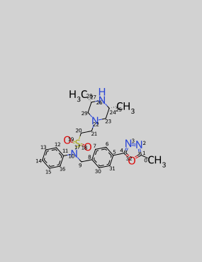 Cc1nnc(-c2ccc(CN(c3ccccc3)S(=O)(=O)CCN3C[C@@H](C)N[C@@H](C)C3)cc2)o1